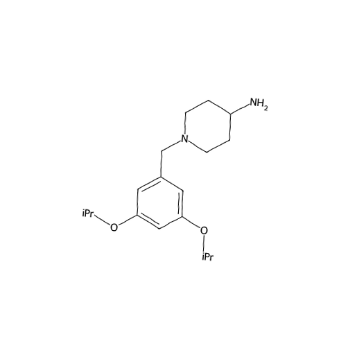 CC(C)Oc1cc(CN2CCC(N)CC2)cc(OC(C)C)c1